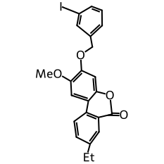 CCc1ccc2c(c1)c(=O)oc1cc(OCc3cccc(I)c3)c(OC)cc12